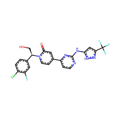 O=c1cc(-c2ccnc(Nc3cc(C(F)(F)F)n[nH]3)n2)ccn1[C@H](CO)c1ccc(Cl)c(F)c1